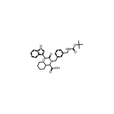 CC(C)(C)OC(=O)NCc1cccc(CN(C(=O)C(=O)c2c[nH]c3ccccc23)C(C(=O)O)C2CCCCC2)c1